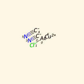 CC(=O)Cl.[C-]#N.[C-]#N.[Cu+2]